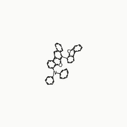 c1ccc(N(c2ccccc2)c2cccc3c2oc2c(-c4cccc5c4oc4ccccc45)c4ccccc4cc23)cc1